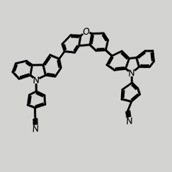 N#Cc1ccc(-n2c3ccccc3c3cc(-c4ccc5oc6ccc(-c7ccc8c(c7)c7ccccc7n8-c7ccc(C#N)cc7)cc6c5c4)ccc32)cc1